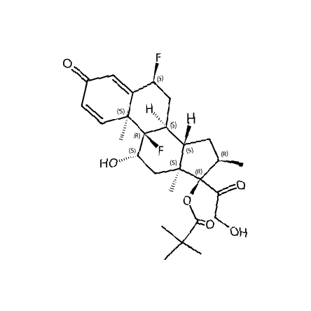 C[C@@H]1C[C@H]2[C@@H]3C[C@H](F)C4=CC(=O)C=C[C@]4(C)[C@@]3(F)[C@@H](O)C[C@]2(C)[C@@]1(OC(=O)C(C)(C)C)C(=O)CO